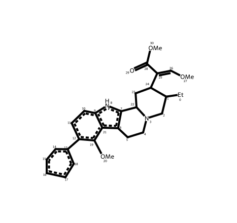 CCC1CN2CCc3c([nH]c4ccc(-c5ccccc5)c(OC)c34)C2CC1/C(=C\OC)C(=O)OC